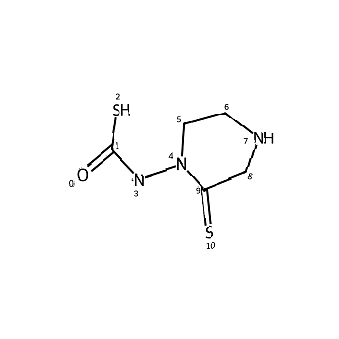 O=C(S)[N]N1CCNCC1=S